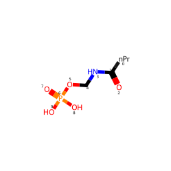 CCCC(=O)NCOP(=O)(O)O